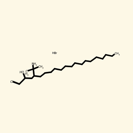 Br.CCCCCCCCCCCCCCCCC(CC(O)CCl)C(C)(C)N